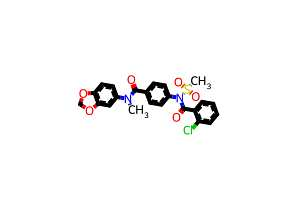 CN(C(=O)c1ccc(N(C(=O)c2ccccc2Cl)S(C)(=O)=O)cc1)c1ccc2c(c1)OCO2